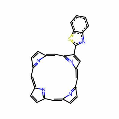 C1=CC2=NC1=CC1=NC(=CC3=NC(=CC4=NC(=C2)C=C4)C=C3c2nc3ccccc3s2)C=C1